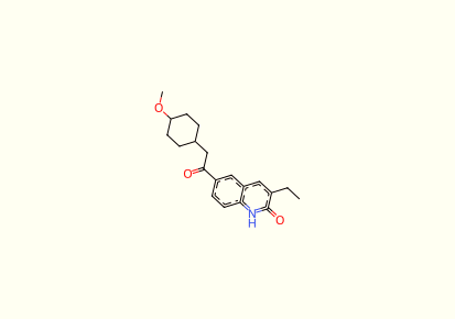 CCc1cc2cc(C(=O)CC3CCC(OC)CC3)ccc2[nH]c1=O